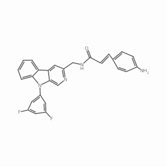 Nc1ccc(/C=C/C(=O)NCc2cc3c4ccccc4n(-c4cc(F)cc(F)c4)c3cn2)cc1